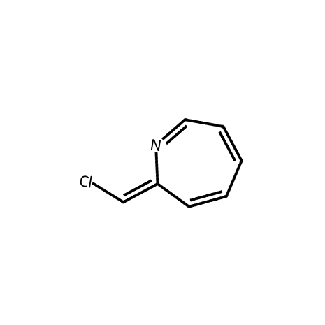 ClC=C1C=CC=CC=N1